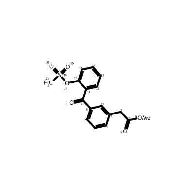 COC(=O)Cc1cccc(C(=O)c2ccccc2OS(=O)(=O)C(F)(F)F)c1